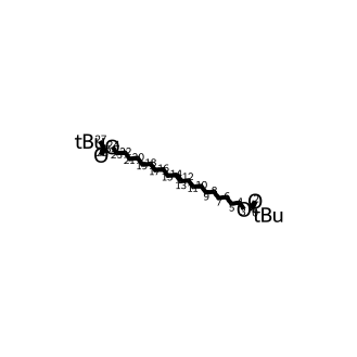 CC(C)(C)C(=O)OCCCCCCCCCC=CCCCCCCCCCOC(=O)C(C)(C)C